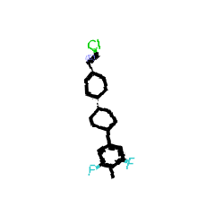 Cc1c(F)cc(C2CCC([C@H]3CC[C@H](/C=C/Cl)CC3)CC2)cc1F